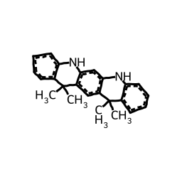 CC1(C)c2ccccc2Nc2cc3c(cc21)C(C)(C)c1ccccc1N3